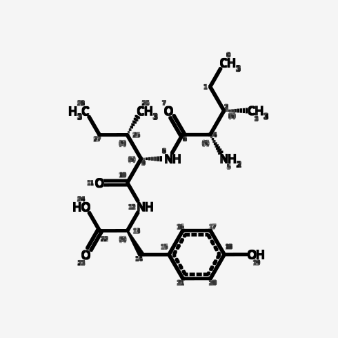 CC[C@H](C)[C@H](N)C(=O)N[C@H](C(=O)N[C@@H](Cc1ccc(O)cc1)C(=O)O)[C@@H](C)CC